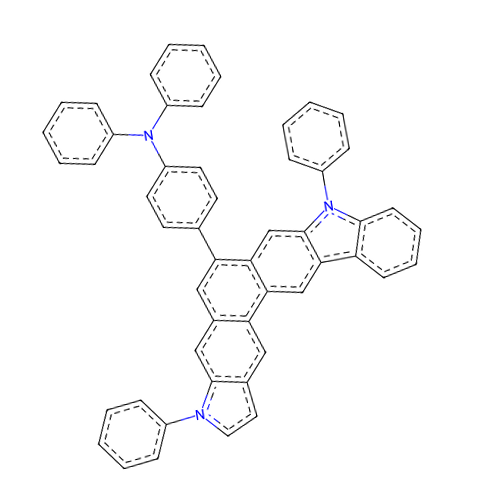 c1ccc(N(c2ccccc2)c2ccc(-c3cc4cc5c(ccn5-c5ccccc5)cc4c4cc5c6ccccc6n(-c6ccccc6)c5cc34)cc2)cc1